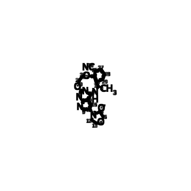 C[C@H]1Nc2nc(nc3ncc(N4CCOCC4=O)cc23)OCCOc2c(C#N)cccc21